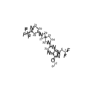 CCOc1nn(CC(F)F)c2nc(N3CCC4(CN(c5ccnc(C(F)(F)F)c5)C4)C3)cnc12